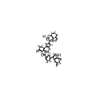 Cc1cccc(F)c1NC(=O)c1cc2c(s1)-c1ccc(F)cc1N(C(=O)c1cccc(-c3c[nH]c4ncc(F)cc34)n1)CC2